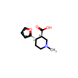 CN1CC[C@H](c2ccco2)[C@@H](C(=O)O)C1